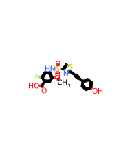 COc1cc(C(=O)O)c(F)cc1NS(=O)(=O)c1csc(C#Cc2ccc(O)cc2)n1